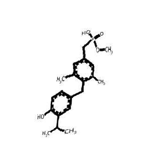 COP(=O)(O)Cc1cc(C)c(Cc2ccc(O)c(C(C)C)c2)c(C)c1